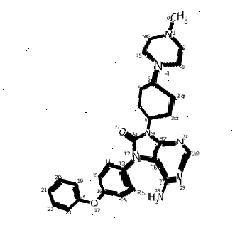 CN1CCN(C2CCC(n3c(=O)n(-c4ccc(Oc5ccccc5)cc4)c4c(N)ncnc43)CC2)CC1